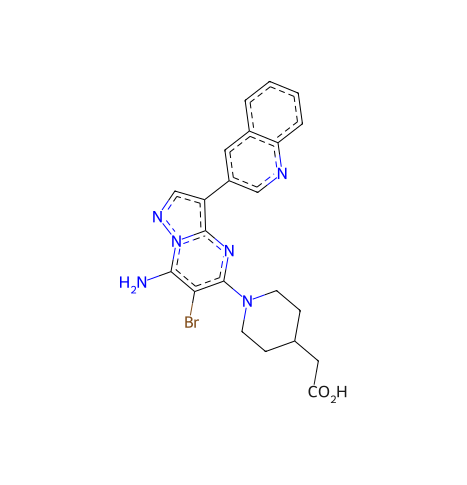 Nc1c(Br)c(N2CCC(CC(=O)O)CC2)nc2c(-c3cnc4ccccc4c3)cnn12